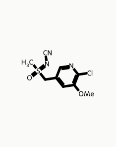 COc1cc(CS(C)(=O)=NC#N)cnc1Cl